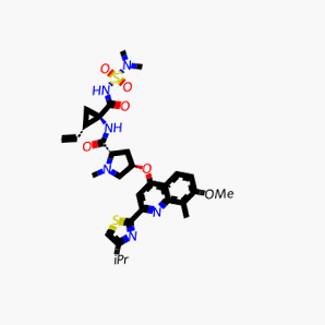 C=C[C@@H]1C[C@]1(NC(=O)[C@@H]1C[C@@H](Oc2cc(-c3nc(C(C)C)cs3)nc3c(C)c(OC)ccc23)CN1C)C(=O)NS(=O)(=O)N(C)C